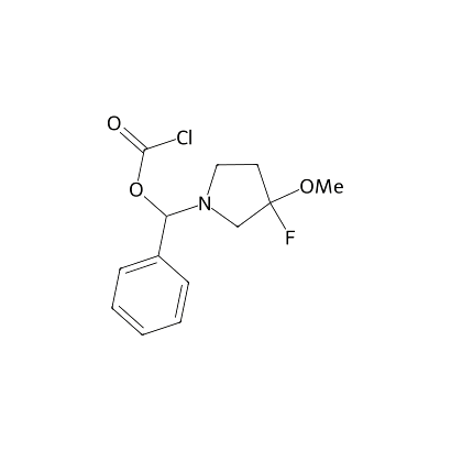 COC1(F)CCN(C(OC(=O)Cl)c2ccccc2)C1